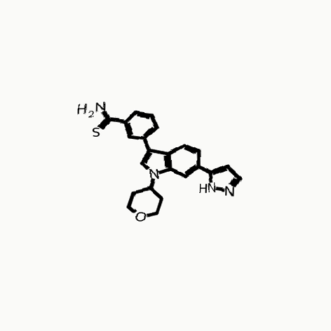 NC(=S)c1cccc(-c2cn(C3CCOCC3)c3cc(-c4ccn[nH]4)ccc23)c1